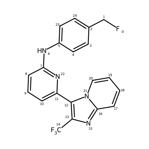 FCc1ccc(Nc2cccc(-c3c(C(F)(F)F)nc4ccccn34)n2)cc1